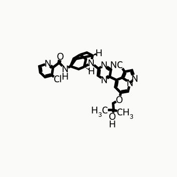 CC(C)(O)COc1cc(-c2cnc(N3[C@@H]4CC5C[C@H]3CC(NC(=O)c3ncccc3Cl)(C5)C4)cn2)c2c(C#N)cnn2c1